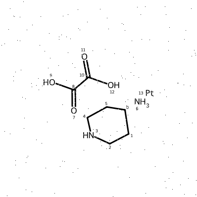 C1CCNCC1.N.O=C(O)C(=O)O.[Pt]